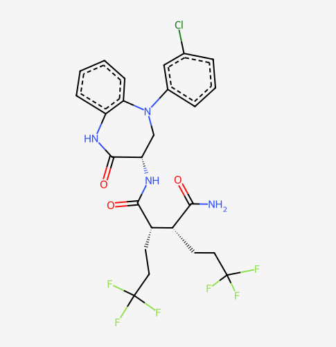 NC(=O)[C@H](CCC(F)(F)F)[C@H](CCC(F)(F)F)C(=O)N[C@H]1CN(c2cccc(Cl)c2)c2ccccc2NC1=O